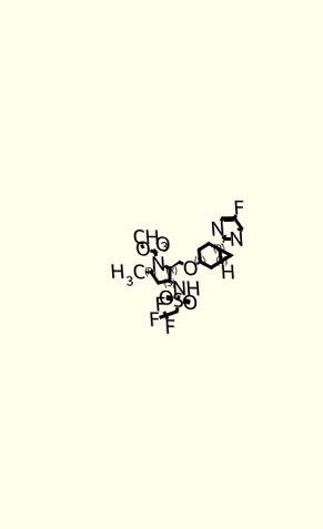 COC(=O)N1[C@H](C)C[C@H](NS(=O)(=O)CC(F)(F)F)[C@@H]1CO[C@H]1CC[C@@]2(c3ncc(F)cn3)C[C@H]2C1